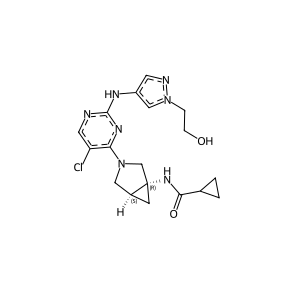 O=C(N[C@]12C[C@H]1CN(c1nc(Nc3cnn(CCO)c3)ncc1Cl)C2)C1CC1